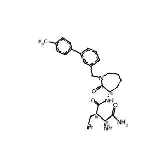 CCC[C@H](C(N)=O)[C@@H](CC(C)C)C(=O)N[C@H]1CCCCN(Cc2cccc(-c3ccc(C(F)(F)F)cc3)c2)C1=O